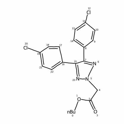 CCCCOC(=O)Cn1nc(-c2ccc(Cl)cc2)c(-c2ccc(Cl)cc2)n1